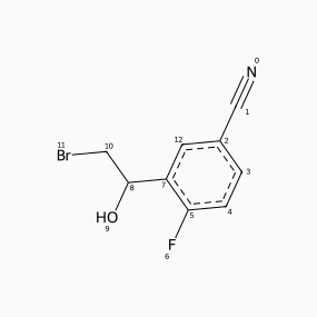 N#Cc1ccc(F)c(C(O)CBr)c1